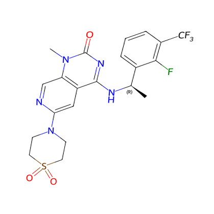 C[C@@H](Nc1nc(=O)n(C)c2cnc(N3CCS(=O)(=O)CC3)cc12)c1cccc(C(F)(F)F)c1F